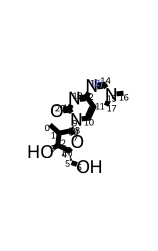 CC1C(O)[C@@H](CO)O[C@H]1n1ccc(/N=C\N(C)C)nc1=O